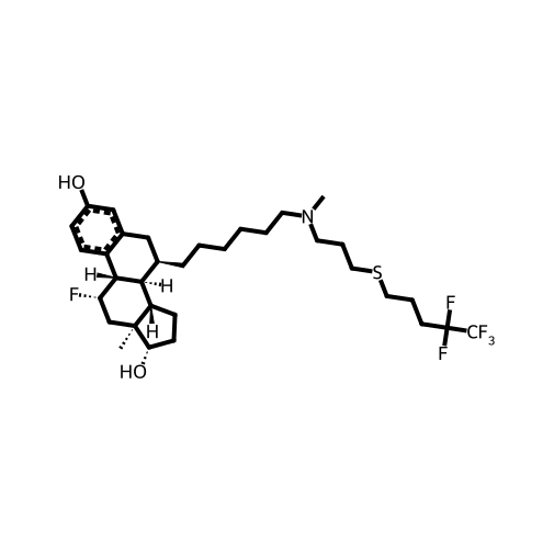 CN(CCCCCC[C@@H]1Cc2cc(O)ccc2[C@@H]2[C@@H]1[C@@H]1CC[C@H](O)[C@@]1(C)C[C@@H]2F)CCCSCCCC(F)(F)C(F)(F)F